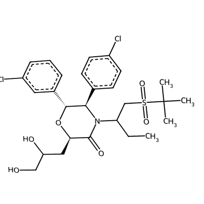 CCC(CS(=O)(=O)C(C)(C)C)N1C(=O)[C@@H](CC(O)CO)O[C@H](c2cccc(Cl)c2)[C@H]1c1ccc(Cl)cc1